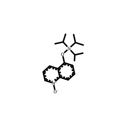 CC(C)[Si](Oc1cccc2c1ccc[n+]2[O-])(C(C)C)C(C)C